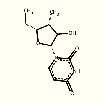 CC[C@H]1O[C@@H](n2ccc(=O)[nH]c2=O)C(O)[C@H]1C